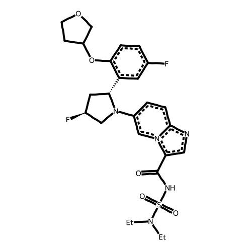 CCN(CC)S(=O)(=O)NC(=O)c1cnc2ccc(N3C[C@@H](F)C[C@@H]3c3cc(F)ccc3OC3CCOC3)cn12